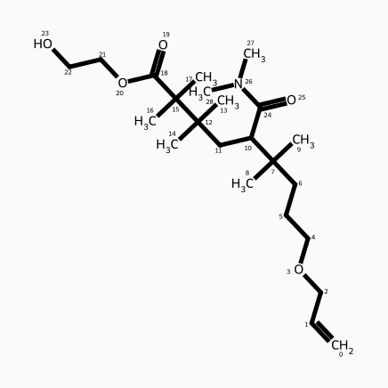 C=CCOCCCC(C)(C)C(CC(C)(C)C(C)(C)C(=O)OCCO)C(=O)N(C)C